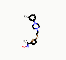 CC(=NO)c1ccc(SCCN2CCN(c3cccc(C(F)(F)F)c3)CC2)s1